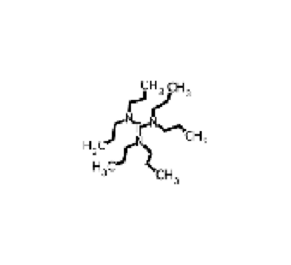 CCC[N](CCC)[Ti]([N](CCC)CCC)[N](CCC)CCC